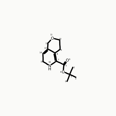 CC(C)(C)OC(=O)C1=C2CCOCC2=CCN1